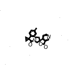 Cc1ccc(C2(C(=O)N3CCC4(C3)OC(=O)c3cnccc34)CC2)cc1